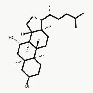 CC(C)CC[C@@H](C)[C@H]1CC[C@H]2[C@@H]3[C@@H](O)C[C@@H]4C[C@H](O)CC[C@]4(C)[C@H]3CC[C@]12C